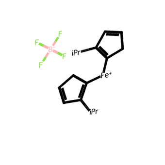 CC(C)C1=[C]([Fe+][C]2=C(C(C)C)C=CC2)CC=C1.F[B-](F)(F)F